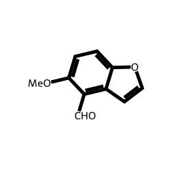 COc1ccc2occc2c1C=O